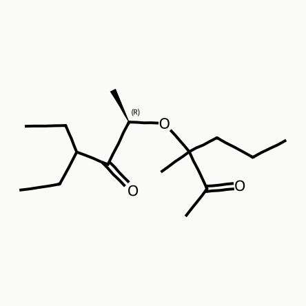 CCCC(C)(O[C@H](C)C(=O)C(CC)CC)C(C)=O